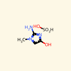 Cn1cc(O)nc1N.O=S(=O)(O)O